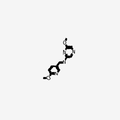 COc1ccc(C=Nc2cncc(OC)n2)cn1